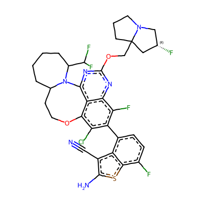 N#Cc1c(N)sc2c(F)ccc(-c3c(Cl)c4c5c(nc(OCC67CCCN6C[C@H](F)C7)nc5c3F)N3C(CCCCC3C(F)F)CCO4)c12